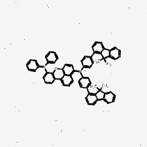 CC1(C)c2ccccc2-c2cccc(-c3ccc(N(c4ccc(-c5cccc6c5C(C)(C)c5ccccc5-6)cc4)c4ccc5c6c(cccc46)-c4cccc(N(c6ccccc6)c6ccccc6)c4O5)cc3)c21